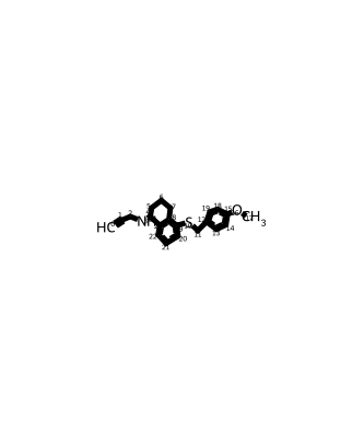 C#CCNC1CCCc2c(SCc3ccc(OC)cc3)cccc21